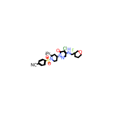 CC(C)[C@H]1C[C@H](n2ncc(NC[C@@]3(F)CCCOC3)c(Cl)c2=O)CCN1S(=O)(=O)c1ccc(C#N)cc1